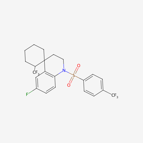 O=S(=O)(c1ccc(C(F)(F)F)cc1)N1CCC2(CCCCC2C(F)(F)F)c2cc(F)ccc21